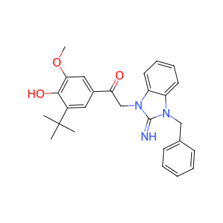 COc1cc(C(=O)Cn2c(=N)n(Cc3ccccc3)c3ccccc32)cc(C(C)(C)C)c1O